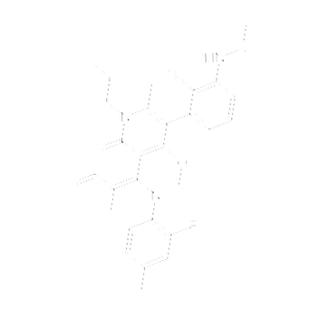 CCCn1c(C)c(-c2cccc(NSC)c2Cl)c(OC)c(/C(Nc2ccc(C)cc2F)=C(/C)C=O)c1=O